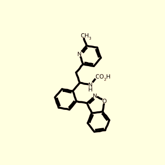 Cc1cccc(CC(NC(=O)O)c2ccccc2-c2noc3ccccc23)n1